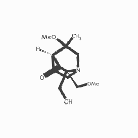 COC[C@@]1(CO)C(=O)[C@H]2CCN1CC2(C)OC